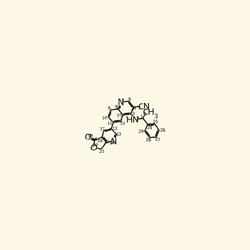 CC(Nc1c(C#N)cnc2ccc(-c3cnc4c(c3)C(=O)OC4)cc12)c1ccccc1